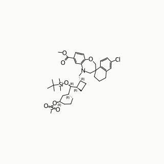 COC(=O)c1ccc2c(c1)N(C[C@@H]1CC[C@H]1[C@H](O[Si](C)(C)C(C)(C)C)[C@@H]1CCC[C@@H](OS(C)(=O)=O)C1)CC1(CCCc3cc(Cl)ccc31)CO2